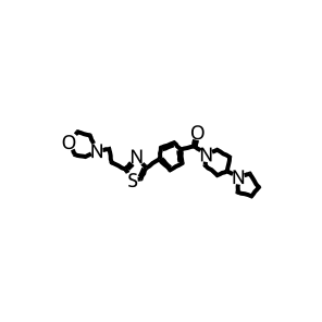 O=C(c1ccc(-c2csc(CCN3CCOCC3)n2)cc1)N1CCC(N2CCCC2)CC1